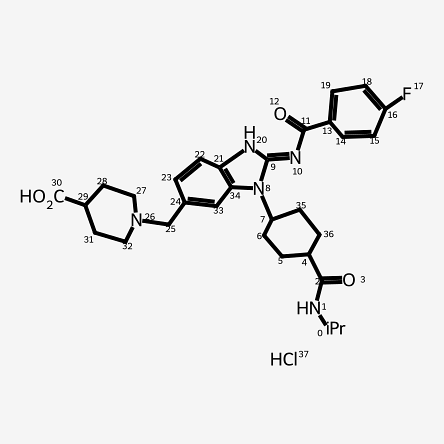 CC(C)NC(=O)C1CCC(n2/c(=N/C(=O)c3ccc(F)cc3)[nH]c3ccc(CN4CCC(C(=O)O)CC4)cc32)CC1.Cl